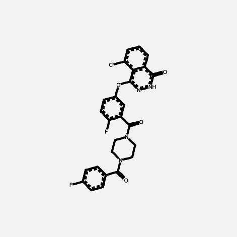 O=C(c1ccc(F)cc1)N1CCN(C(=O)c2cc(Oc3n[nH]c(=O)c4cccc(Cl)c34)ccc2F)CC1